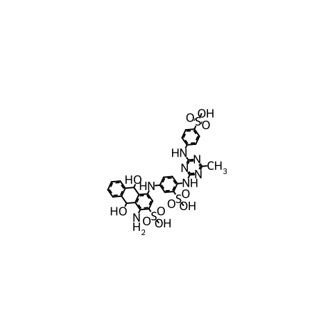 Cc1nc(Nc2ccc(S(=O)(=O)O)cc2)nc(Nc2ccc(Nc3cc(S(=O)(=O)O)c(N)c4c3C(O)c3ccccc3C4O)cc2S(=O)(=O)O)n1